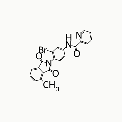 Cc1cccc2c1C(=O)N(c1ccc(NC(=O)c3ccccn3)cc1Br)C2=O